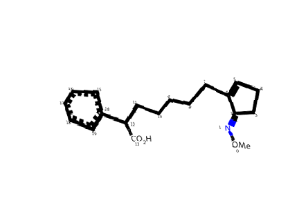 CON=C1CCC=C1CCCCCC(C(=O)O)c1ccccc1